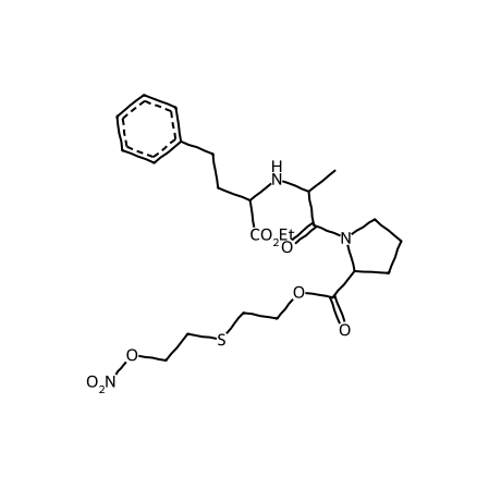 CCOC(=O)C(CCc1ccccc1)NC(C)C(=O)N1CCCC1C(=O)OCCSCCO[N+](=O)[O-]